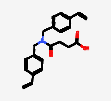 C=Cc1ccc(CN(Cc2ccc(C=C)cc2)C(=O)CCC(=O)O)cc1